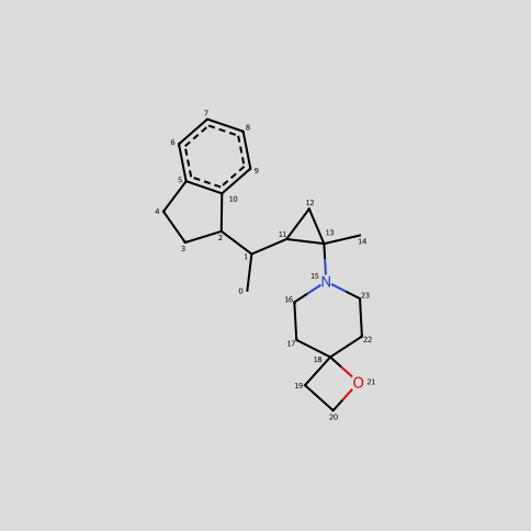 CC(C1CCc2ccccc21)C1CC1(C)N1CCC2(CCO2)CC1